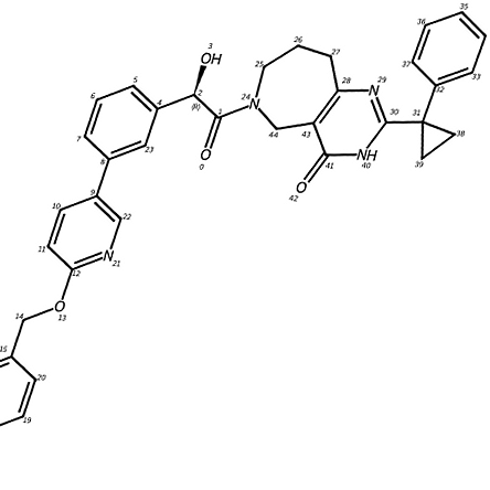 O=C([C@H](O)c1cccc(-c2ccc(OCc3ccccc3)nc2)c1)N1CCCc2nc(C3(c4ccccc4)CC3)[nH]c(=O)c2C1